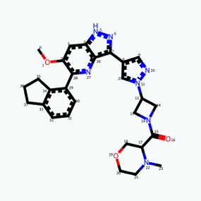 COc1cc2[nH]nc(-c3cnn(C4CN(C(=O)C5COCCN5C)C4)c3)c2nc1-c1cccc2c1CCC2